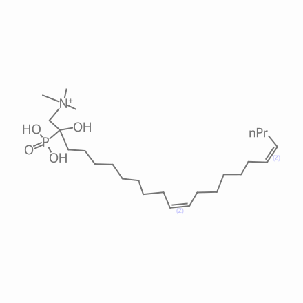 CCC/C=C\CCCCC/C=C\CCCCCCCCC(O)(C[N+](C)(C)C)P(=O)(O)O